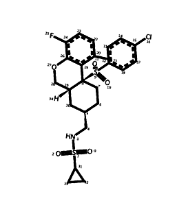 O=S(=O)(NC[C@@H]1CC[C@@]2(S(=O)(=O)c3ccc(Cl)cc3)c3c(F)ccc(F)c3OC[C@H]2C1)C1CC1